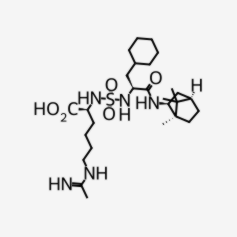 CC(=N)NCCCC[C@H](NS(=O)(=O)N[C@@H](CC1CCCCC1)C(=O)N[C@H]1C[C@H]2CC[C@]1(C)C2(C)C)C(=O)O